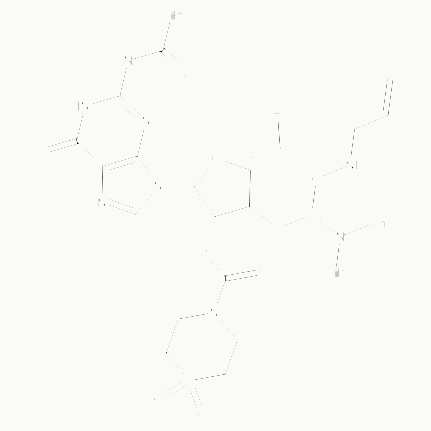 [2H]C[C@H]1O[C@@H](n2cnc3c(=O)[nH]c(NC(=O)C(C)C)nc32)[C@@H](OC(=S)N2CCS(=O)(=O)CC2)C1OP(ONCC=C)N(C(C)C)C(C)C